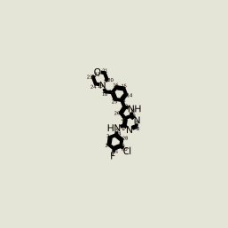 Fc1ccc(Nc2ncnc3[nH]c(-c4cccc(CN5CCOCC5)c4)cc23)cc1Cl